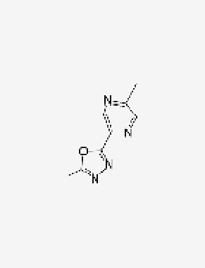 Cc1cnc(-c2nnc(C)o2)cn1